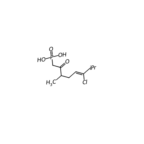 CC(C)C(Cl)=CCC(C)C(=O)CP(=O)(O)O